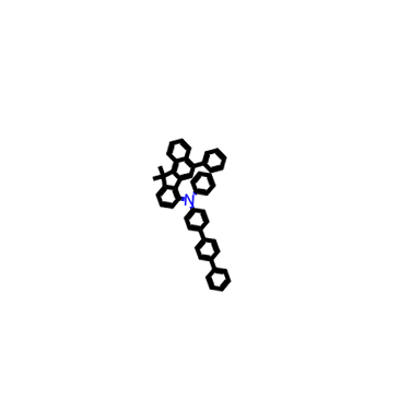 CC1(C)c2cccc(N(c3ccccc3)c3ccc(-c4ccc(-c5ccccc5)cc4)cc3)c2-c2cc(-c3ccccc3)c3ccccc3c21